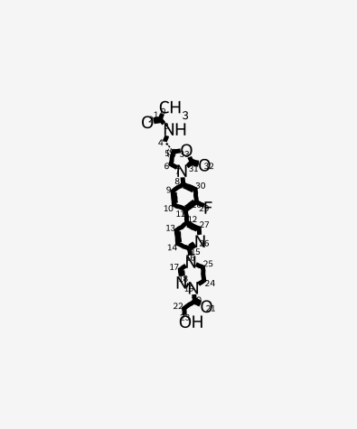 CC(=O)NC[C@H]1CN(c2ccc(-c3ccc(N4C=NN(C(=O)CO)CC4)nc3)c(F)c2)C(=O)O1